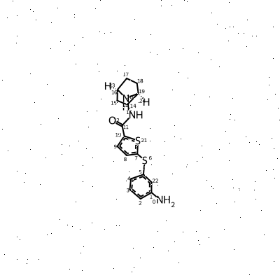 Nc1cccc(Sc2ccc(C(=O)N[C@@H]3C[C@H]4CC[C@@H]3N4)s2)c1